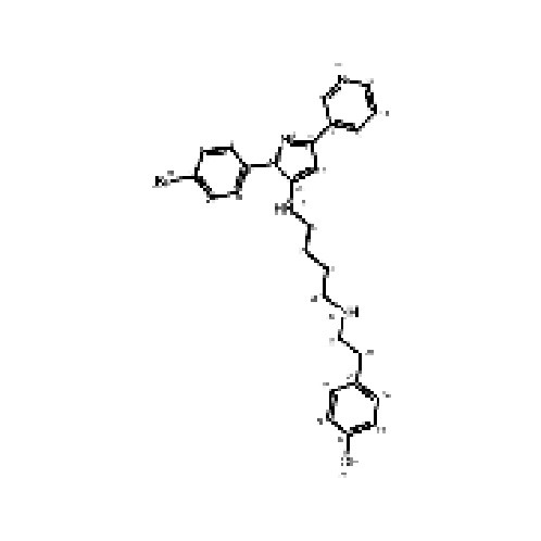 CC(C)(C)c1ccc(-n2nc(-c3cccnc3)cc2NCCCCNCCc2ccc(O)cc2)cc1